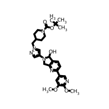 COc1cc(-c2ccc3c(n2)CN(c2cnn(CC4CCN(C(=O)OC(C)(C)C)CC4)c2)C3O)cnc1OC